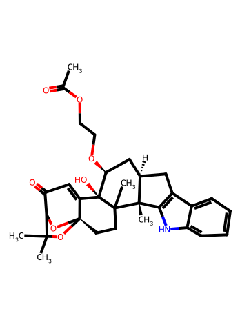 CC(=O)OCCO[C@H]1C[C@H]2Cc3c([nH]c4ccccc34)[C@]2(C)C2(C)CC[C@@]34OC(C(=O)C=C3[C@]12O)C(C)(C)O4